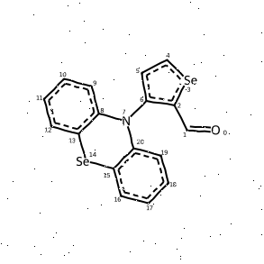 O=Cc1[se]ccc1N1c2ccccc2[Se]c2ccccc21